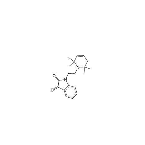 CC1(C)C=CCC(C)(C)N1CCN1C(=O)C(=O)c2ccccc21